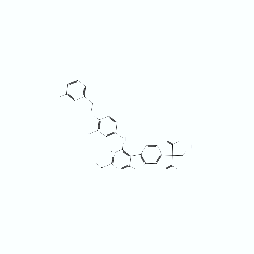 CCc1nc(Nc2ccc(OCc3cccc(F)c3)c(Cl)c2)c2c(n1)sc1cc(C(CC)(C(=O)O)C(=O)O)ccc12